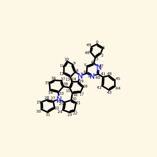 c1ccc(-c2cc(-n3c4ccccc4c4c5c(ccc43)-c3ccccc3N(c3ccccc3)c3ccccc3-5)nc(-c3ccccc3)n2)cc1